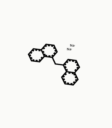 [Na].[Na].c1ccc2c(Cc3cccc4ccccc34)cccc2c1